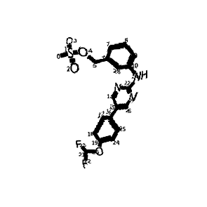 CS(=O)(=O)OCc1cccc(Nc2ncc(-c3ccc(OC(F)F)cc3)cn2)c1